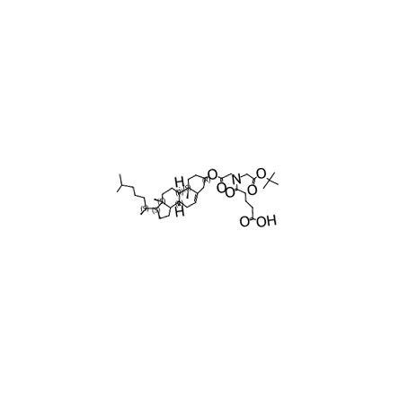 CC(C)CCC[C@H](C)[C@@H]1CCC2[C@H]3CC=C4C[C@H](OC(=O)CN(CC(=O)OC(C)(C)C)C(=O)CCCC(=O)O)CC[C@@]4(C)[C@@H]3CC[C@]21C